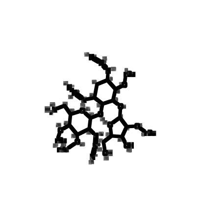 CCCCOC1C(OC2C(OCCCC)C(N=[N+]=[N-])CC(N=[N+]=[N-])C2OC2OC(CN)C(OCCCC)C(OCCCC)C2N=[N+]=[N-])OC(CO)C1O